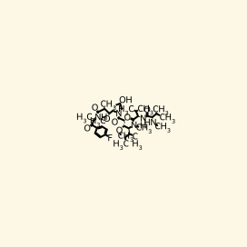 CCC(C)[C@@H]([C@@H](CC(=O)N1C[C@@H](O)C[C@H]1[C@H](OC)[C@@H](C)C(=O)N[C@@H](C)C(=O)c1ccc(F)cc1)OC)N(C)C(=O)[C@@H](NC(=O)[C@@H](NC)C(C)C)C(C)C